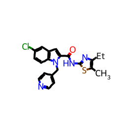 CCc1nc(NC(=O)c2cc3cc(Cl)ccc3n2Cc2ccncc2)sc1C